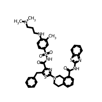 Cc1cc(S(=O)(=O)NC(=O)c2nc(N3CCc4cccc(C(=O)Nc5nc6ccccc6s5)c4C3)sc2Cc2ccccc2)ccc1NCCCN(C)C